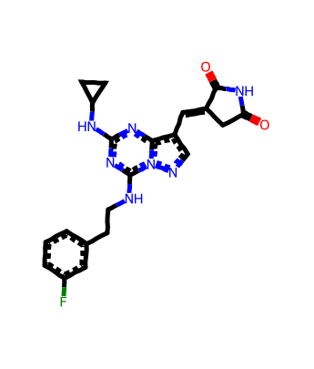 O=C1C/C(=C\c2cnn3c(NCCc4cccc(F)c4)nc(NC4CC4)nc23)C(=O)N1